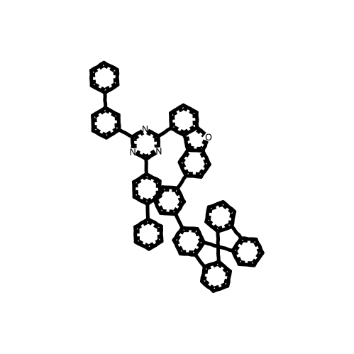 c1ccc(-c2ccc(-c3nc(-c4cccc(-c5ccccc5)c4)nc(-c4cccc5oc6ccc(-c7cccc(-c8ccc9c(c8)C8(c%10ccccc%10-c%10ccccc%108)c8ccccc8-9)c7)cc6c45)n3)cc2)cc1